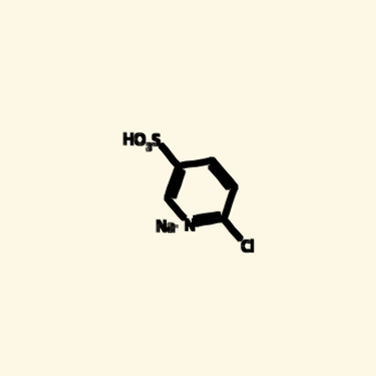 O=S(=O)(O)c1ccc(Cl)nc1.[Na]